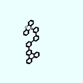 c1cc(-c2cccc(-c3ccc4c5ccccc5c5ccccc5c4c3)c2)cc(-c2cccc(N3c4ccccc4Oc4ccccc43)c2)c1